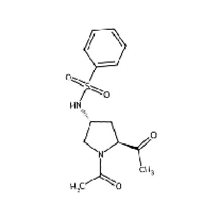 CC(=O)[C@@H]1C[C@@H](NS(=O)(=O)c2ccccc2)CN1C(C)=O